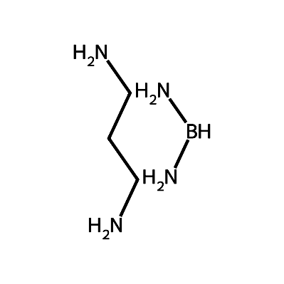 NBN.NCCCN